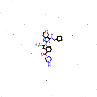 Cc1cc2c(C(=O)N3CCNCC3)cccc2n1-c1nc2c(c(NCc3ccccc3)n1)COCC2